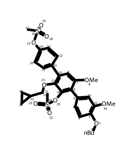 CCCCOc1ccc(-c2c(OC)cc(-c3ccc(OS(C)(=O)=O)cc3)c(OCC3CC3)c2OS(C)(=O)=O)cc1OC